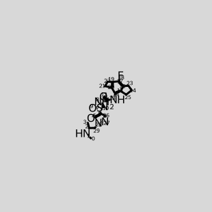 CN[C@@H]1COc2c([S@@](N)(=O)=NC(=O)Nc3c4c(c(F)c5c3CC5)CCC4)cnn2C1